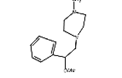 COC(CN1CCN(C)CC1)c1ccccc1